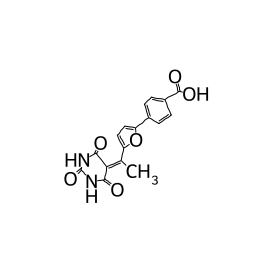 CC(=C1C(=O)NC(=O)NC1=O)c1ccc(-c2ccc(C(=O)O)cc2)o1